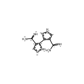 N=C(N)c1c[nH]nc1-c1[nH]ncc1C(=N)N